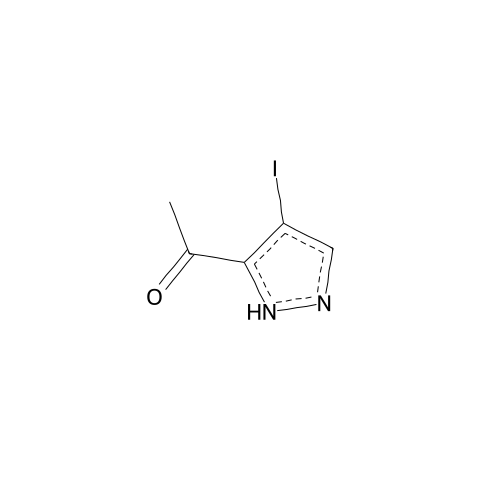 CC(=O)c1[nH]ncc1I